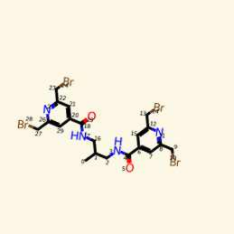 CC(CNC(=O)c1cc(CBr)nc(CBr)c1)CNC(=O)c1cc(CBr)nc(CBr)c1